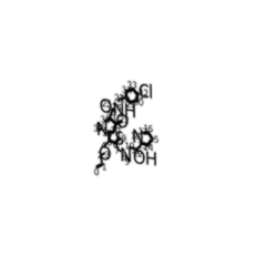 C=CCOCc1c(CN(C)C[C@@H](O)c2ccccn2)sc2c(=O)c(C(=O)NCc3ccc(Cl)cc3)cn(C)c12